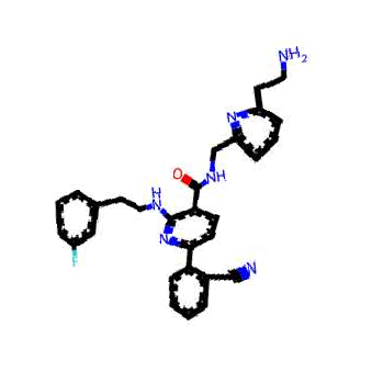 N#Cc1ccccc1-c1ccc(C(=O)NCc2cccc(CCN)n2)c(NCCc2cccc(F)c2)n1